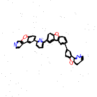 c1cc(-c2ccc3oc4cnccc4c3c2)nc(-c2ccc3oc4ccc(-c5ccc6oc7cccnc7c6c5)cc4c3c2)c1